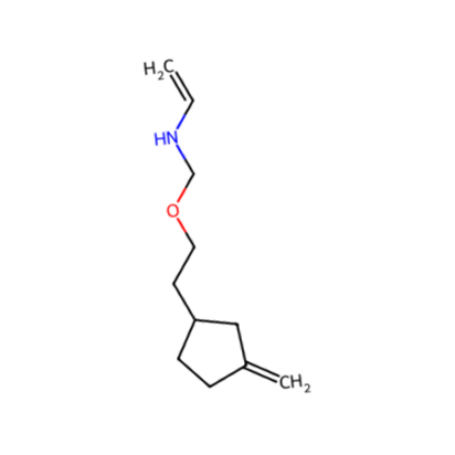 C=CNCOCCC1CCC(=C)C1